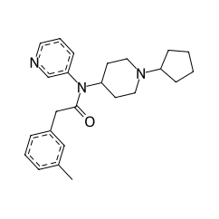 Cc1cccc(CC(=O)N(c2cccnc2)C2CCN(C3CCCC3)CC2)c1